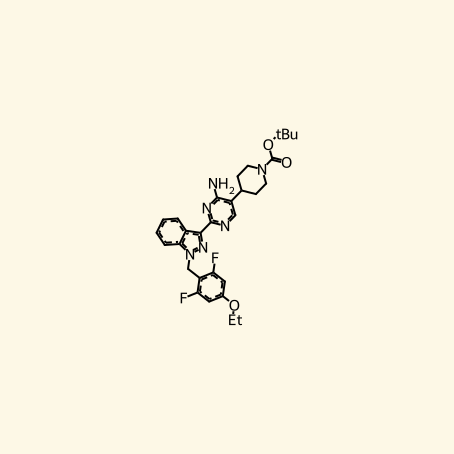 CCOc1cc(F)c(Cn2nc(-c3ncc(C4CCN(C(=O)OC(C)(C)C)CC4)c(N)n3)c3ccccc32)c(F)c1